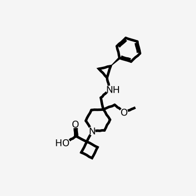 COCC1(CNC2C[C@H]2c2ccccc2)CCN(C2(C(=O)O)CCC2)CC1